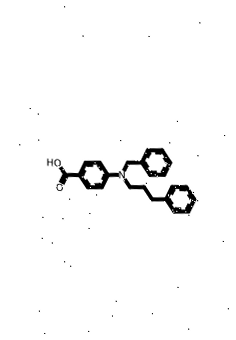 O=C(O)c1ccc(N(CCCc2ccccc2)Cc2ccccc2)cc1